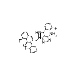 N=C(c1cccc(F)c1)c1c(N)ncnc1NCc1cc2cccc(F)c2c(=O)n1-c1ccccc1F